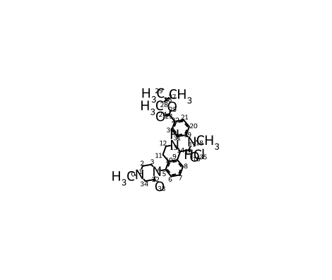 CN1CCN(c2cccc3c2CCNC3C(=O)N(C)c2ccc(C(=O)OC(C)(C)C)cc2)C(=O)C1.Cl